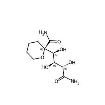 NC(=O)[C@@H](O)[C@@H](O)[C@H](O)[C@@]1(C(N)=O)CCCCO1